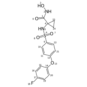 O=C(NO)C1(NS(=O)(=O)c2ccc(Oc3ccc(F)cc3)cc2)CC1